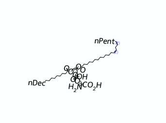 CCCCC/C=C\C/C=C\CCCCCCCCCCCC(=O)O[C@H](COC(=O)CCCCCCCCCCCCCCCCCC)COP(=O)(O)OC[C@H](N)C(=O)O